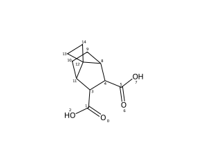 O=C(O)C1C(C(=O)O)C2CCC1C21CC1